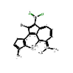 CCC1=[C]([Hf]([Cl])[Cl])C2=CC=CC(=[Si](C)C)C(C)C2=C1C1=C(C)C(C)=CC1